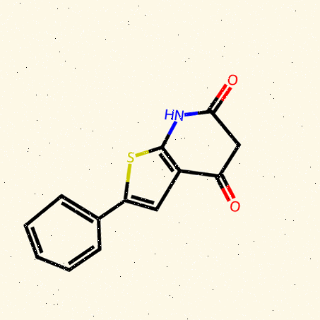 O=C1CC(=O)c2cc(-c3ccccc3)sc2N1